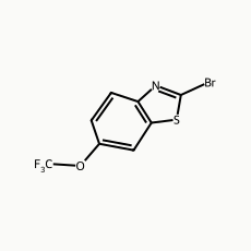 FC(F)(F)Oc1ccc2nc(Br)sc2c1